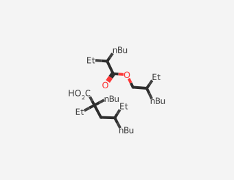 CCCCC(CC)CC(CC)(CCCC)C(=O)O.CCCCC(CC)COC(=O)C(CC)CCCC